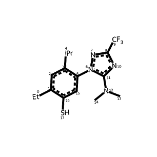 CCc1cc(C(C)C)c(-n2nc(C(F)(F)F)nc2N(C)C)cc1S